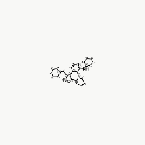 c1ccc(-c2onc(CN3CCCCC3)c2-c2ccnc(NC3CCCCC3)c2)cc1